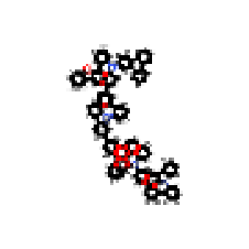 c1ccc(-c2ccccc2-c2ccc(N(c3ccc(-c4cccc(-c5ccccc5-n5c6ccccc6c6ccc(-c7ccc(-c8cccc(N(c9ccc(-c%10cccc(-c%11ccccc%11-n%11c%12ccccc%12c%12ccccc%12%11)c%10)cc9)c9ccccc9-c9cccc%10c9oc9ccccc9%10)c8)c(-c8ccccc8)c7)cc65)c4)cc3)c3ccccc3-c3cccc4c3oc3ccccc34)cc2)cc1